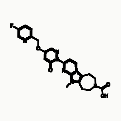 Cn1c2c(c3ccc(-n4ncc(OCc5ccc(F)cn5)cc4=O)nc31)CCN(C(=O)O)CC2